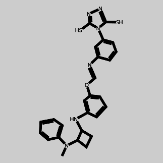 CN(c1ccccc1)C1CCC1Nc1cccc(O/C=N/c2cccc(-n3c(S)nnc3S)c2)c1